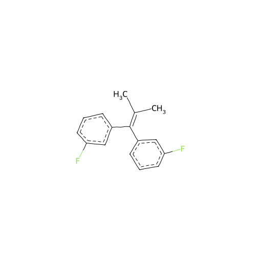 CC(C)=C(c1cccc(F)c1)c1cccc(F)c1